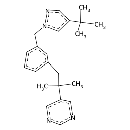 CC(C)(C)c1cnn(Cc2cccc(CC(C)(C)c3cncnc3)c2)c1